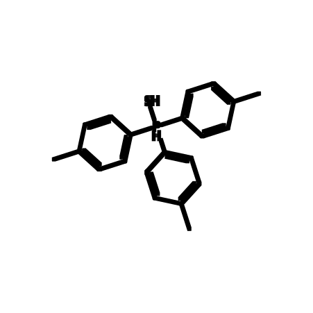 Cc1ccc([PH](S)(c2ccc(C)cc2)c2ccc(C)cc2)cc1